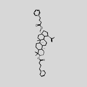 C=C(C)[C@@H]1CC[C@]2(COC(=O)CCC[n+]3ccccc3)CCC3(C)C(CCC4[C@@]5(C)CC[C@H](OC(=O)CCC[N+]6=CC=CCC6)C(C)(C)C5CC[C@]43C)C12